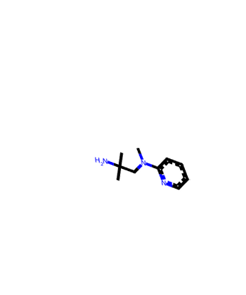 CN(CC(C)(C)N)c1cc[c]cn1